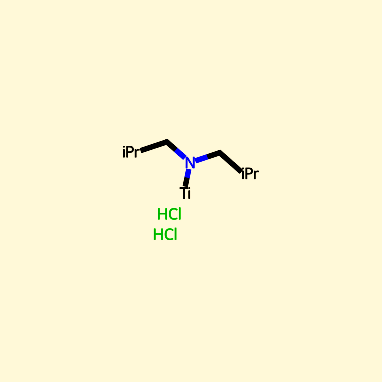 CC(C)C[N]([Ti])CC(C)C.Cl.Cl